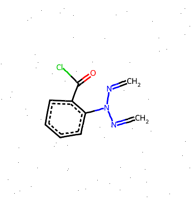 C=NN(N=C)c1ccccc1C(=O)Cl